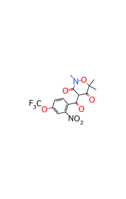 CN1OC(C)(C)C(=O)C(C(=O)c2ccc(OC(F)(F)F)cc2[N+](=O)[O-])C1=O